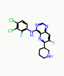 Fc1cc2ncnc(Nc3ccc(Cl)c(Cl)c3F)c2nc1C1CCCNC1